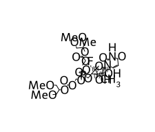 COCC(COC)OC(=O)OCOP(=O)(OCOC(=O)OC(COC)COC)OC1[C@]2(O)[C@@](C)(O)[C@H](n3ccc(=O)[nH]c3=O)O[C@]12CF